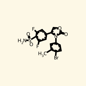 Cc1cc(-n2c(-c3cc(F)c(S(N)(=O)=O)c(F)c3)coc2=O)ccc1Br